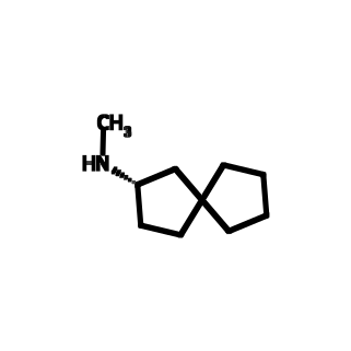 CN[C@H]1CCC2(CCCC2)C1